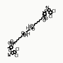 Cc1cc(N(CCCCCCCCNC(=O)NCCCCNC(=O)NCCCCCCCCN(c2ccc(O[C@H]3c4cc(Cl)cc(Cl)c4C[C@@H]3N(C)C)c(C)c2)[SH](=O)=O)[SH](=O)=O)ccc1O[C@H]1c2cc(Cl)cc(Cl)c2C[C@@H]1N(C)C